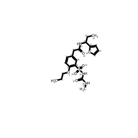 CCCOc1ccc(CC(=O)NC(CC)c2ccco2)cc1S(=O)(=O)NC(=O)NC